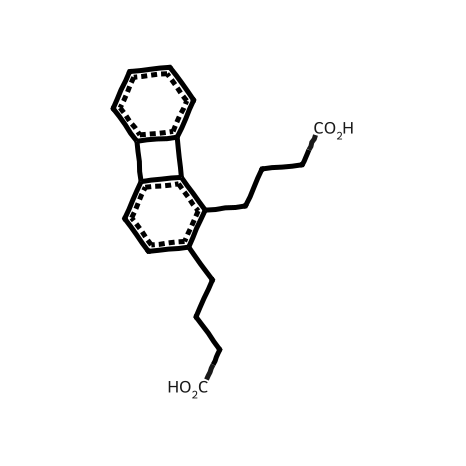 O=C(O)CCCc1ccc2c(c1CCCC(=O)O)-c1ccccc1-2